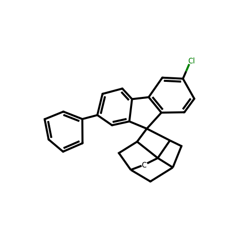 Clc1ccc2c(c1)-c1ccc(-c3ccccc3)cc1C21C2CC3CC4CC1C42C3